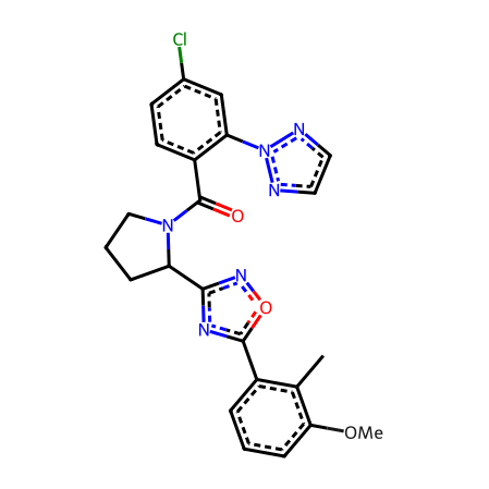 COc1cccc(-c2nc(C3CCCN3C(=O)c3ccc(Cl)cc3-n3nccn3)no2)c1C